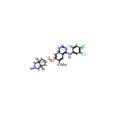 COc1cc2c(Nc3cc(Cl)c(Cl)cc3F)ncnc2cc1OC[C@@H]1C[C@@H]2CN(C)C[C@@H]2C1